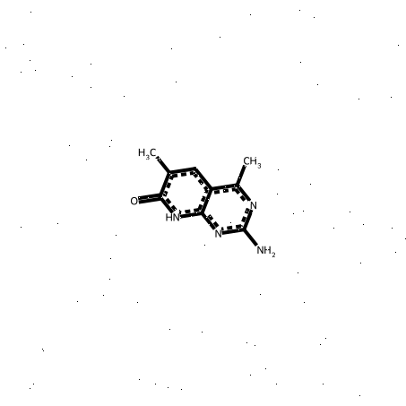 Cc1cc2c(C)nc(N)nc2[nH]c1=O